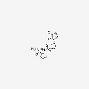 NS(=O)(=O)c1ccccc1NS(=O)(=O)c1cccc(-c2cccc(Cl)c2Cl)c1